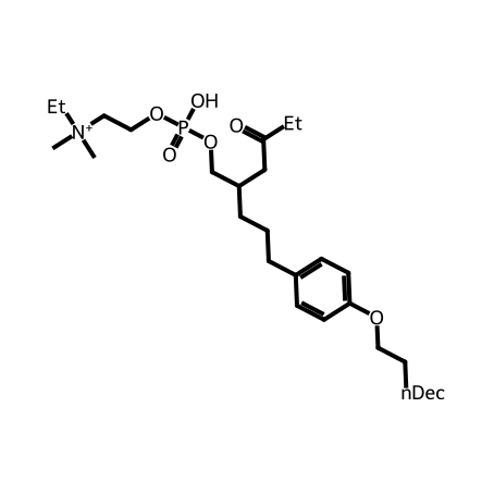 CCCCCCCCCCCCOc1ccc(CCCC(COP(=O)(O)OCC[N+](C)(C)CC)CC(=O)CC)cc1